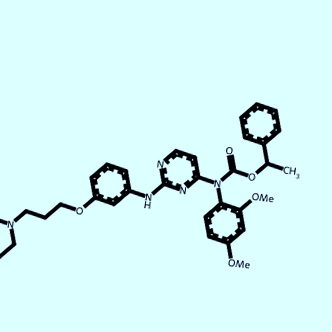 COc1ccc(N(C(=O)OC(C)c2ccccc2)c2ccnc(Nc3cccc(OCCCN4CCCCC4)c3)n2)c(OC)c1